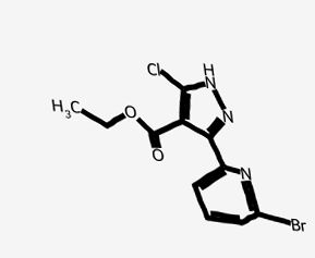 CCOC(=O)c1c(-c2cccc(Br)n2)n[nH]c1Cl